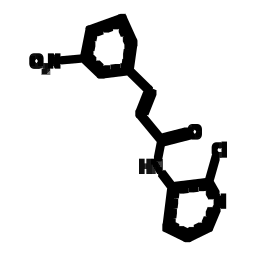 O=C(C=Cc1cccc([N+](=O)[O-])c1)Nc1cccnc1Cl